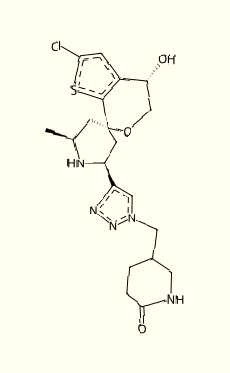 C[C@H]1C[C@@]2(C[C@@H](c3cn(CC4CCC(=O)NC4)nn3)N1)OC[C@@H](O)c1cc(Cl)sc12